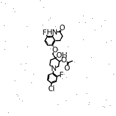 CC(=O)OC1CN(c2ccc(Cl)cc2F)CCC1(O)COc1ccc(F)c2c1CCC(=O)N2